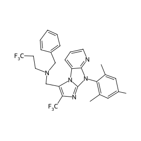 Cc1cc(C)c(-n2c3ncccc3n3c(CN(CCC(F)(F)F)Cc4ccccc4)c(C(F)(F)F)nc23)c(C)c1